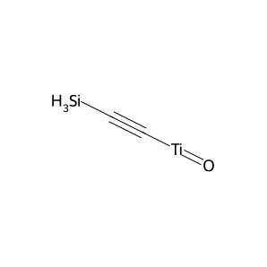 [O]=[Ti][C]#C[SiH3]